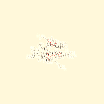 CC[C@H](C)[C@H](NC(=O)[C@@H](N)CCCNC(=N)N)C(=O)N[C@@H](Cc1c[nH]cn1)C(=O)N[C@@H](CC[S+](C)[O-])C(=O)N[C@H](C(=O)N[C@@H](Cc1ccc(O)cc1)C(=O)N[C@@H](CO)C(=O)N[C@@H](CCCCN)C(=O)N[C@@H](CCCNC(=N)N)C(=O)N[C@@H](COP(=O)(O)O)C(=O)NCC(=O)N[C@@H](CCCCN)C(=O)N1CCC[C@H]1C(=O)NC)C(C)C